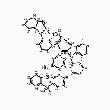 CC(C)(C)c1ccc([Si](c2ccccc2)(c2ccccc2)c2ccc(C(C)(C)C)c(-c3cccc4c3sc3nc5ccccc5n34)c2)cc1-c1cccc2c1Sc1ccccc1[Si]2(C)C